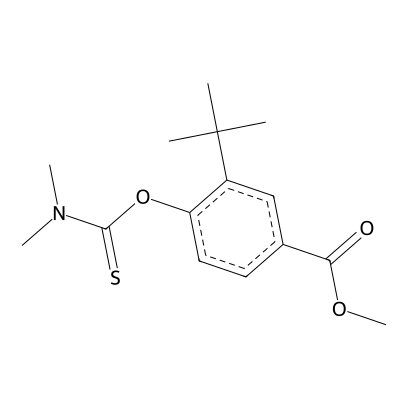 COC(=O)c1ccc(OC(=S)N(C)C)c(C(C)(C)C)c1